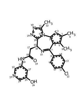 Cc1sc2c(c1C)C(c1ccc(Cl)cc1)=N[C@@H](CC(=O)Nc1cncc(O)c1)c1nnc(C)n1-2